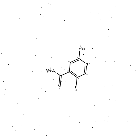 COC(=O)c1cc(C(C)(C)C)ncc1F